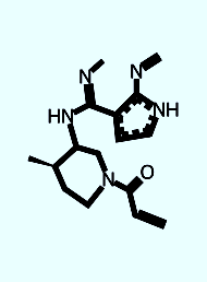 C=CC(=O)N1CC[C@@H](C)C(N/C(=N/C)c2cc[nH]c2N=C)C1